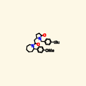 COc1ccc(C2CCCCCN2C(=O)CC2CCC(=O)N2Cc2ccc(C(C)(C)C)cc2)cc1